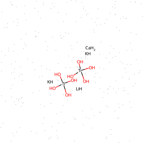 [CaH2].[KH].[KH].[LiH].[OH][Ti]([OH])([OH])[OH].[OH][Ti]([OH])([OH])[OH]